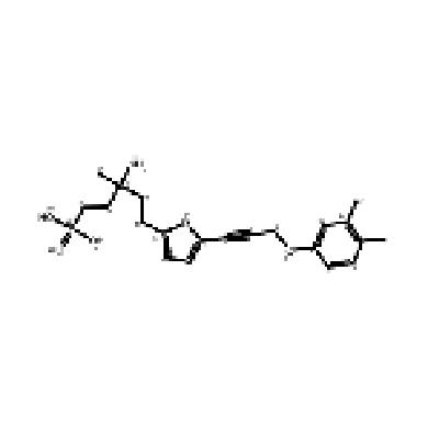 Cc1ccc(OCC#Cc2ccc(CCC(C)(N)CCP(=O)(O)O)o2)cc1C